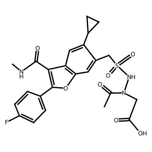 CNC(=O)c1c(-c2ccc(F)cc2)oc2cc(CS(=O)(=O)NN(CC(=O)O)C(C)=O)c(C3CC3)cc12